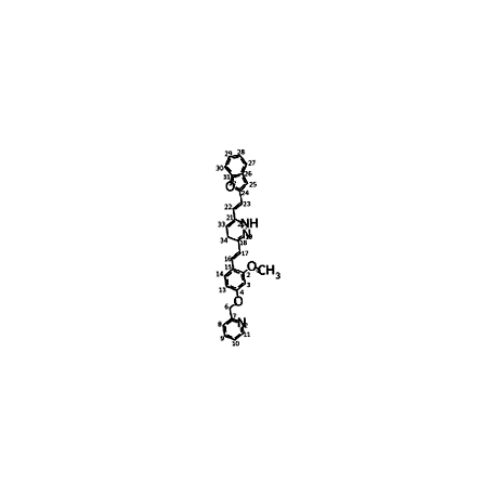 COc1cc(OCc2ccccn2)ccc1/C=C/C1=NNC(/C=C/c2cc3ccccc3o2)=CC1